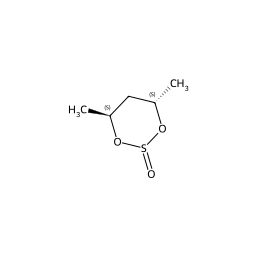 C[C@H]1C[C@H](C)OS(=O)O1